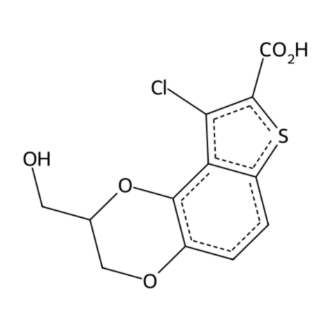 O=C(O)c1sc2ccc3c(c2c1Cl)OC(CO)CO3